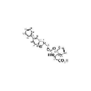 O=C(O)CC(NC(=O)OCc1cc2cc(-c3ccccc3)ccc2o1)c1ccccc1